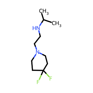 CC(C)NCCN1CCC(F)(F)CC1